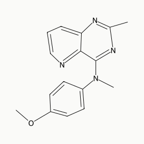 COc1ccc(N(C)c2nc(C)nc3cccnc23)cc1